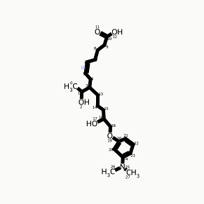 CC(O)C(C/C=C\CCCC(=O)O)CCCC(O)COc1cccc(N(C)C)c1